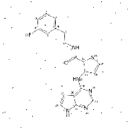 O=C(NCCc1cccc(F)c1)C1SC=CC1Nc1ncnc2[nH]ccc12